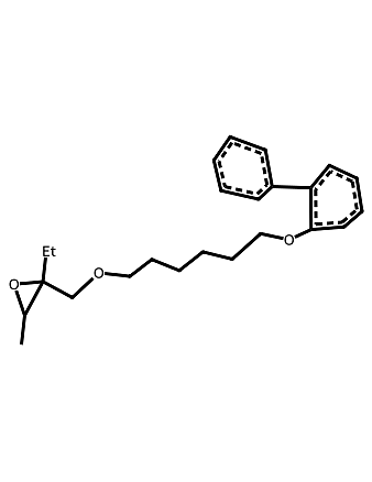 CCC1(COCCCCCCOc2ccccc2-c2ccccc2)OC1C